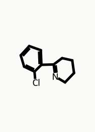 Clc1ccccc1C1=NCCCC1